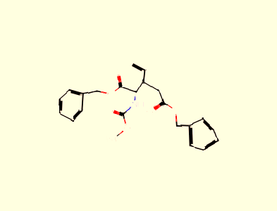 C=CC(CC(=O)OCc1ccccc1)[C@@H](NC(=O)OC(C)(C)C)C(=O)OCc1ccccc1